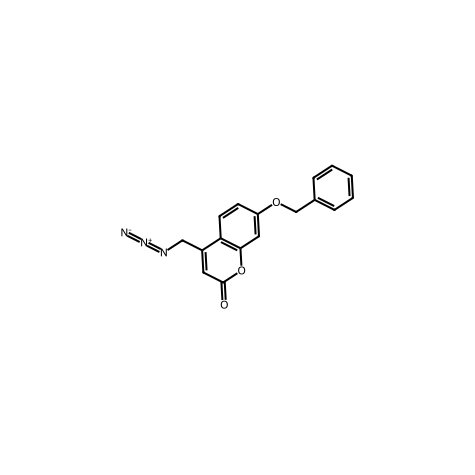 [N-]=[N+]=NCc1cc(=O)oc2cc(OCc3ccccc3)ccc12